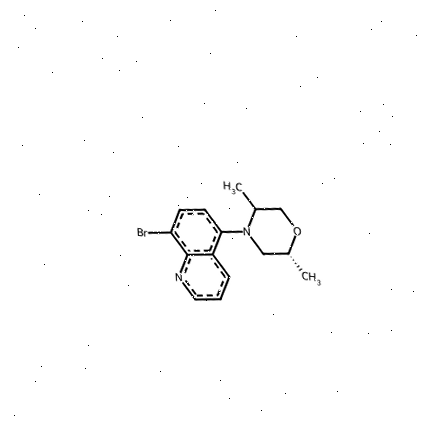 CC1CO[C@H](C)CN1c1ccc(Br)c2ncccc12